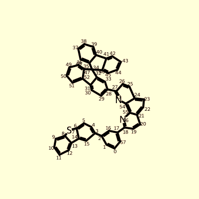 c1cc(-c2ccc3sc4ccccc4c3c2)cc(-c2ccc3ccc4ccc(-c5ccc6c(c5)C5(c7ccccc7-c7ccccc75)c5ccccc5-6)nc4c3n2)c1